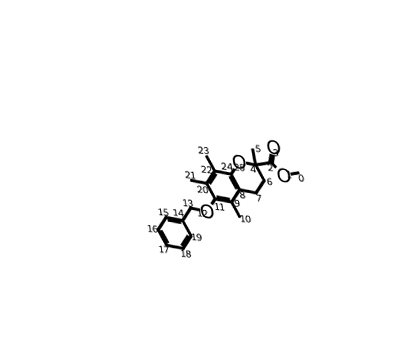 COC(=O)C1(C)CCc2c(C)c(OCc3ccccc3)c(C)c(C)c2O1